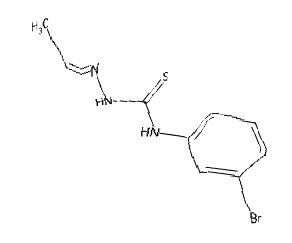 C/C=N/NC(=S)Nc1cccc(Br)c1